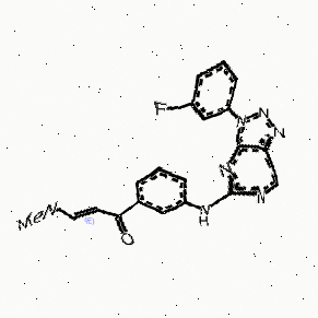 CN/C=C/C(=O)c1cccc(Nc2ncc3nnn(-c4cccc(F)c4)c3n2)c1